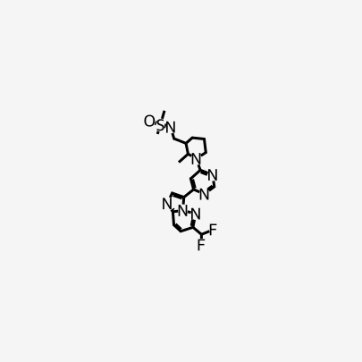 CC1C(CN=S(C)(C)=O)CCCN1c1cc(-c2cnc3ccc(C(F)F)nn23)ncn1